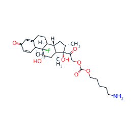 C[C@H]1C[C@H]2[C@@H]3CCC4=CC(=O)C=C[C@]4(C)[C@@]3(F)[C@@H](O)C[C@]2(C)[C@@]1(O)C(=O)COC(=O)OCCCCCN